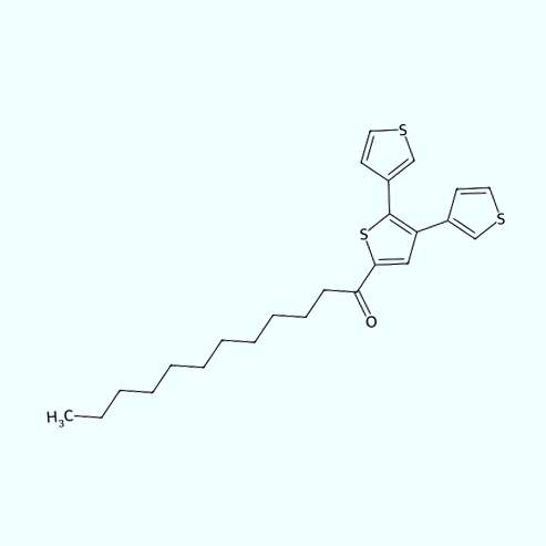 CCCCCCCCCCCC(=O)c1cc(-c2ccsc2)c(-c2ccsc2)s1